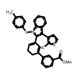 COC(=O)c1cccc(C2=CC(c3c(-c4ccsc4C#N)c4ccccc4n3Sc3ccc(C)cc3)=CCC2)c1